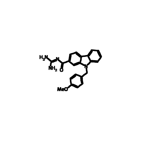 COc1ccc(Cn2c3ccccc3c3ccc(C(=O)N=C(N)N)cc32)cc1